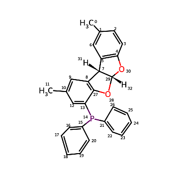 Cc1ccc2c(c1)[C@H]1c3cc(C)cc(P(c4ccccc4)c4ccccc4)c3O[C@H]1O2